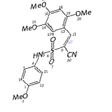 COc1ccc(NS(=O)(=O)/C(C#N)=C\c2cc(OC)c(OC)cc2OC)cc1